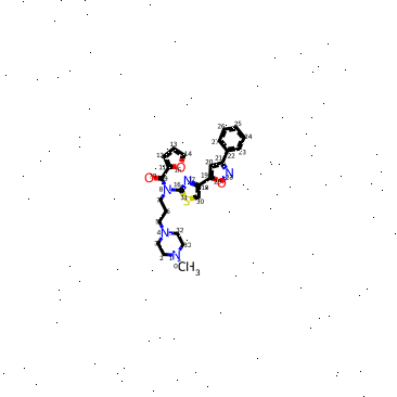 CN1CCN(CCCN(C(=O)c2ccco2)c2nc(-c3cc(-c4ccccc4)no3)cs2)CC1